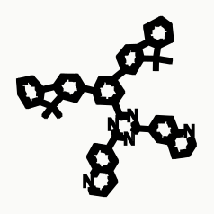 CC1(C)c2ccccc2-c2ccc(-c3cc(-c4ccc5c(c4)C(C)(C)c4ccccc4-5)cc(-c4nc(-c5ccc6ncccc6c5)nc(-c5ccc6ncccc6c5)n4)c3)cc21